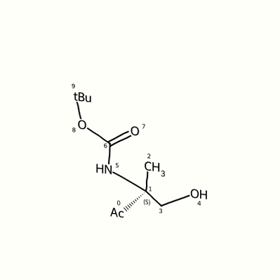 CC(=O)[C@](C)(CO)NC(=O)OC(C)(C)C